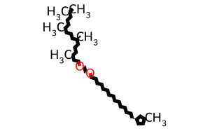 CC(C)CCC[C@@H](C)CCC[C@@H](C)CCCC(C)CCOCCOCCCCCCCCCCCCCCC[C@H]1CC[C@@H](C)C1